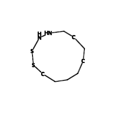 C1CCCCSSNNCCC1